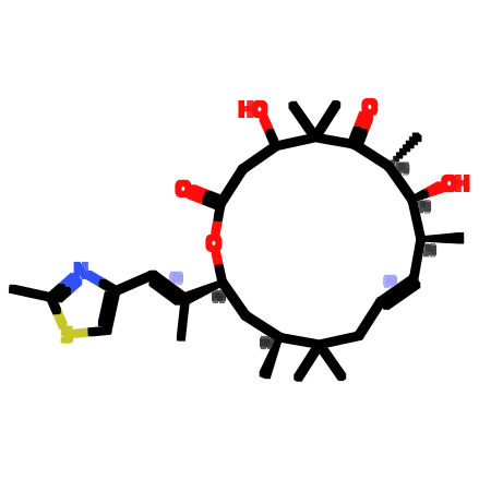 C/C(=C\c1csc(C)n1)[C@@H]1C[C@H](C)C(C)(C)C/C=C/[C@H](C)[C@H](O)[C@@H](C)C(=O)C(C)(C)C(O)CC(=O)O1